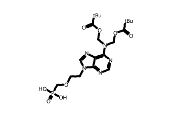 CC(C)(C)C(=O)OCN(COC(=O)C(C)(C)C)c1ncnc2c1ncn2CCOCP(=O)(O)O